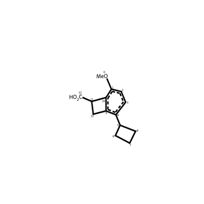 COc1ccc(C2CCC2)c2c1C(C(=O)O)C2